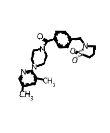 Cc1cnc(N2CCN(C(=O)c3ccc(CN4CCCS4(=O)=O)cc3)CC2)c(C)c1